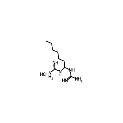 CCCCCCC(NC(=N)N)NC(=N)N.Cl